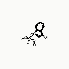 O=P(OCl)(OBr)On1cc(O)c2ccccc21